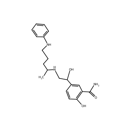 CC(CCCNc1ccccc1)NCC(O)c1ccc(O)c(C(N)=O)c1